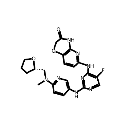 CN(C[C@@H]1CCCO1)c1ccc(Nc2ncc(F)c(Nc3ccc4c(n3)NC(=O)CO4)n2)cn1